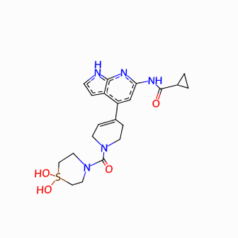 O=C(Nc1cc(C2=CCN(C(=O)N3CCS(O)(O)CC3)CC2)c2cc[nH]c2n1)C1CC1